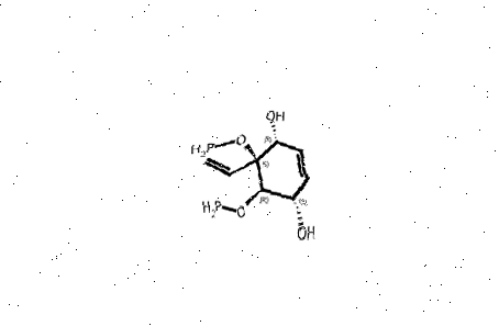 C=C[C@]1(OP)[C@H](O)C=C[C@H](O)[C@H]1OP